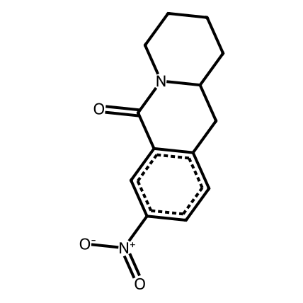 O=C1c2cc([N+](=O)[O-])ccc2CC2CCCCN12